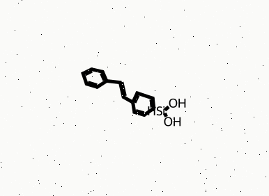 O[SiH](O)c1ccc(C=Cc2ccccc2)cc1